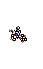 CC1(C)c2ccccc2-c2ccc(N(c3ccc4c(c3)C3(c5ccccc5S4)c4ccccc4-c4ccccc43)c3ccc(-c4cccc5sc6ccccc6c45)c4ccccc34)cc21